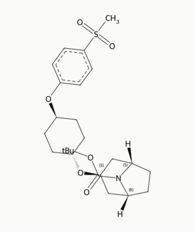 CC(C)(C)OC(=O)N1[C@@H]2CC[C@H]1C[C@H](O[C@H]1CC[C@H](Oc3ccc(S(C)(=O)=O)cc3)CC1)C2